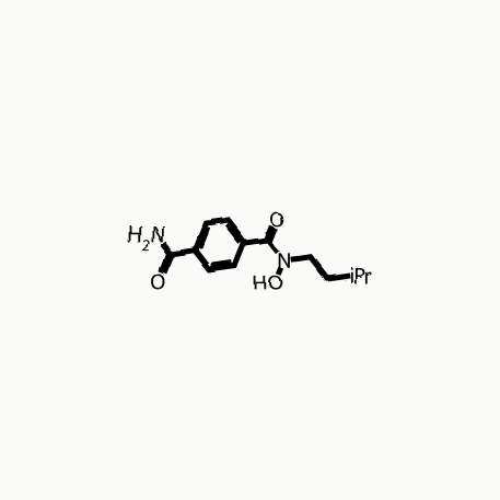 CC(C)CCN(O)C(=O)c1ccc(C(N)=O)cc1